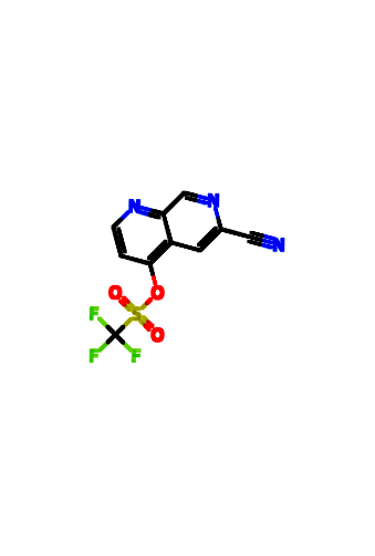 N#Cc1cc2c(OS(=O)(=O)C(F)(F)F)ccnc2cn1